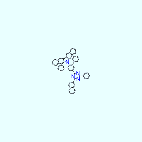 c1ccc(-c2nc(-c3cc(-c4ccccc4)c(-n4c5cc6ccccc6cc5c5cc6ccccc6cc54)c(-c4ccccc4)c3)nc(-c3ccc4ccccc4c3)n2)cc1